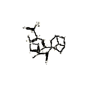 CON=C(C)C(=O)N1CC2CC(C1)C2Nc1cc(C(=O)O)ncn1